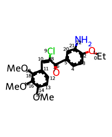 CCOc1ccc(C(=O)/C(Cl)=C\c2ccc(OC)c(OC)c2OC)cc1N